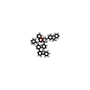 CC1(C)c2ccccc2-c2ccc(-c3nc(-c4ccccc4)nc(-c4ccc(-n5c6ccccc6c6cccc(-c7ccc(N(c8ccccc8)c8ccccc8)cc7)c65)cc4)n3)cc21